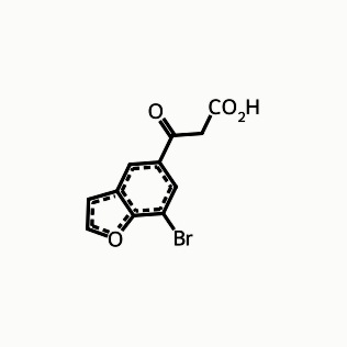 O=C(O)CC(=O)c1cc(Br)c2occc2c1